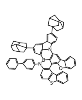 c1ccc(-c2ccc(N3B4c5c(cc6c(oc7ccccc76)c5-c5c3ccc3sc6ccccc6c53)-n3c5ccc(C67CC8CC(CC(C8)C6)C7)cc5c5cc(C67CC8CC(CC(C8)C6)C7)cc4c53)cc2)cc1